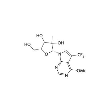 COc1ncnc2c1c(C(F)(F)F)cn2[C@@H]1O[C@H](CO)C(O)C1(C)O